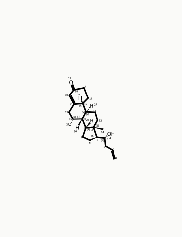 C=CC[C@@H](O)[C@H]1CC[C@@H]2[C@H]3[C@H](CC[C@@]21C)[C@H]1CCC(=O)C=C1C[C@H]3C